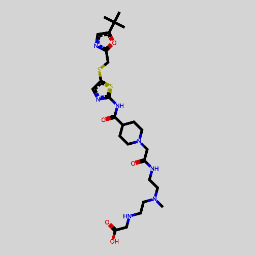 CN(CCNCC(=O)O)CCNC(=O)CN1CCC(C(=O)Nc2ncc(SCc3ncc(C(C)(C)C)o3)s2)CC1